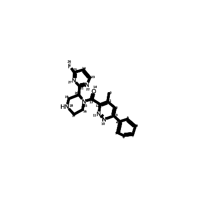 Cc1cc(-c2ccccc2)nnc1C(=O)N1CCNCC1c1nccc(F)n1